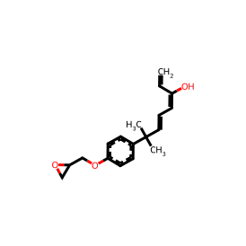 C=C/C(O)=C\C=C\C(C)(C)c1ccc(OCC2CO2)cc1